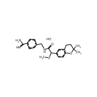 COC(C(=O)NCc1ccc(C(=N)N)cc1)c1ccc2c(c1)CCC(C)(C)O2.Cl